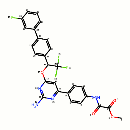 COC(=O)C(=O)Nc1ccc(-c2cc(OC(c3ccc(-c4cccc(F)c4)cc3)C(F)(F)F)nc(N)n2)cc1